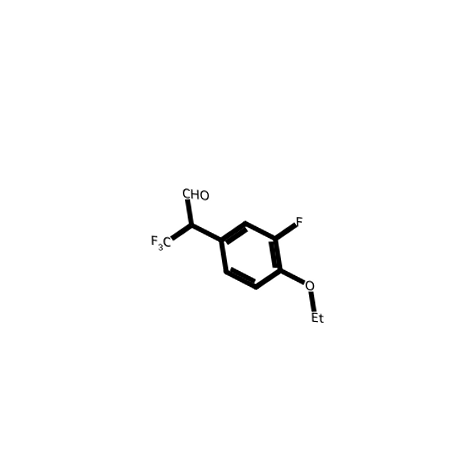 CCOc1ccc(C(C=O)C(F)(F)F)cc1F